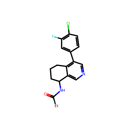 CCC(=O)NC1CCCc2c(-c3ccc(Cl)c(F)c3)cncc21